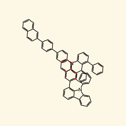 c1ccc(-c2ccccc2-c2c(-c3ccccc3)cccc2N(c2ccc(-c3ccc(-c4ccc5ccccc5c4)cc3)cc2)c2ccc(-c3cccc4c5ccccc5n(-c5ccccc5)c34)cc2)cc1